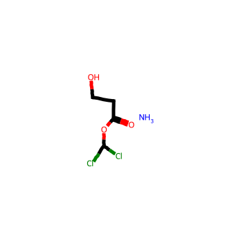 N.O=C(CCO)OC(Cl)Cl